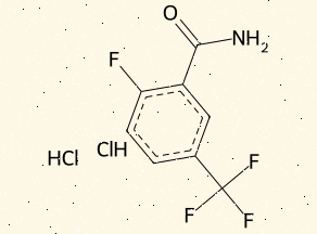 Cl.Cl.NC(=O)c1cc(C(F)(F)F)ccc1F